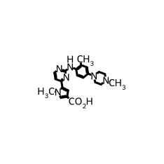 Cc1cc(N2CCN(C)CC2)ccc1Nc1nccc(-c2cc(C(=O)O)cn2C)n1